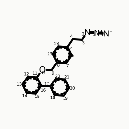 [N-]=[N+]=NCCc1ccc(COc2ccccc2-c2ccccc2)cc1